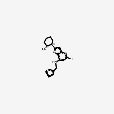 N[C@H]1CCCC[C@H]1c1cc2nc(Cl)cc(NCc3cccs3)c2o1